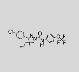 C=CCC1(C)CN(C(=O)Nc2ccc(OC(F)(F)F)cc2)N=C1c1ccc(Cl)cc1